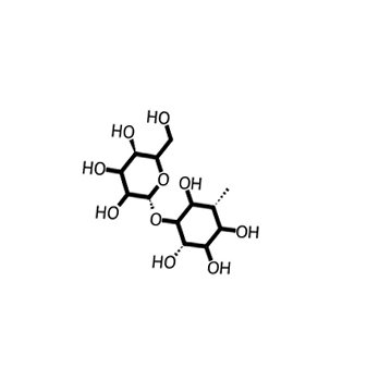 C[C@@H]1C(O)C(O)[C@H](O)C(O[C@H]2OC(CO)[C@H](O)C(O)C2O)C1O